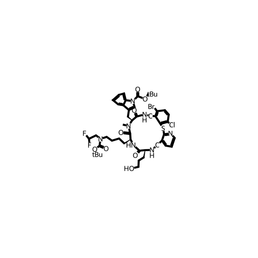 CN1C(=O)[C@H](CCCCN(CC(F)F)C(=O)OC(C)(C)C)NC(=O)[C@H](CCCO)NCc2cccnc2Sc2c(Cl)ccc(Br)c2CNC(=O)[C@@H]1Cc1cn(C(=O)OC(C)(C)C)c2ccccc12